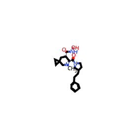 CN1CC2(CC2)C[C@H](C(=O)NO)[C@H]1C(=O)N1CCC(CCc2ccccc2)C1